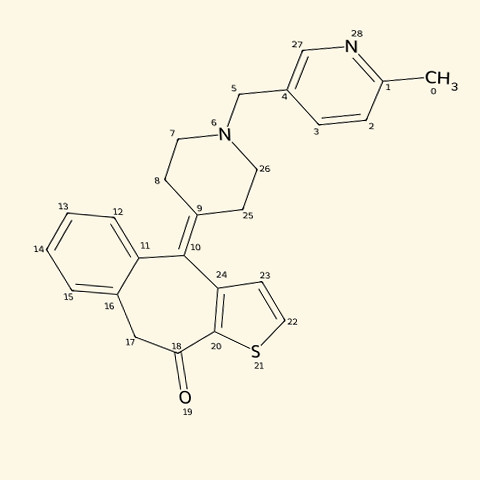 Cc1ccc(CN2CCC(=C3c4ccccc4CC(=O)c4sccc43)CC2)cn1